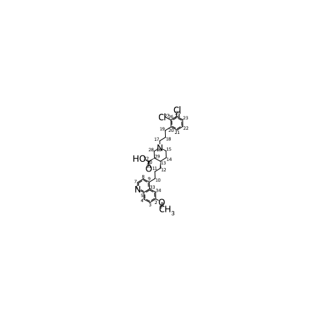 COc1ccc2nccc(CCC[C@@H]3CCN(CCCc4cccc(Cl)c4Cl)C[C@@H]3C(=O)O)c2c1